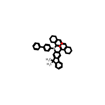 CC(C)c1ccc2c(c1-c1cc3c(cc1N(c1ccc(-c4ccccc4)cc1)c1cccc4c1CCCC4)C(C)(C)c1ccccc1-3)CCCC2